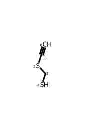 C#CSCS